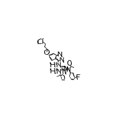 CC(=O)Nc1nn(N(C(C)=O)c2cccc(F)c2)cc1Nc1ncnc2cc(OCCCCl)ccc12